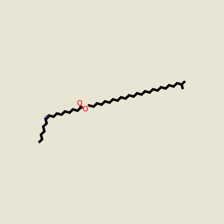 CCCCCC/C=C\CCCCCCCC(=O)OCCCCCCCCCCCCCCCCCCCCCCCC(C)C